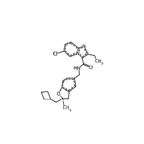 CCc1nc2ccc(Cl)cn2c1C(=O)NCc1ccc2c(c1)CC(C)(CC1CCC1)O2